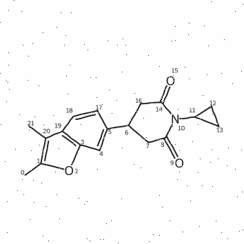 Cc1oc2cc(C3CC(=O)N(C4CC4)C(=O)C3)ccc2c1C